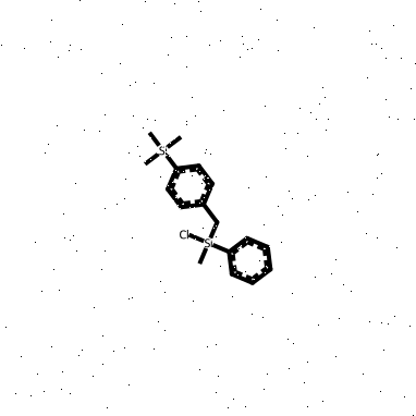 C[Si](C)(C)c1ccc(C[Si](C)(Cl)c2ccccc2)cc1